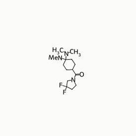 CNC1(N(C)C)CCC(C(=O)N2CCC(F)(F)C2)CC1